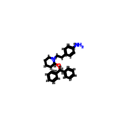 Nc1ccc(CCN2CCCCC2OC(c2ccccc2)c2ccccc2)cc1